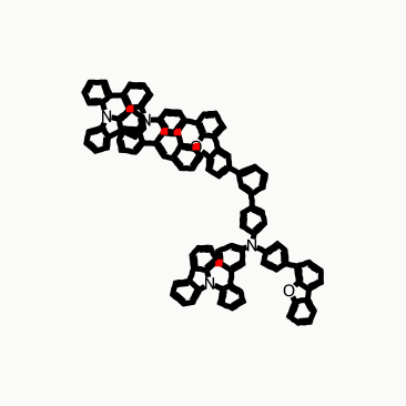 c1cc(-c2ccc(N(c3ccc(-c4cccc5c4oc4ccccc45)cc3)c3cccc(-c4ccccc4-n4c5ccccc5c5ccccc54)c3)cc2)cc(-c2ccc3oc4c(-c5ccc(N(c6cccc(-c7ccccc7-n7c8ccccc8c8ccccc87)c6)c6ccccc6-c6ccc7ccccc7c6)cc5)cccc4c3c2)c1